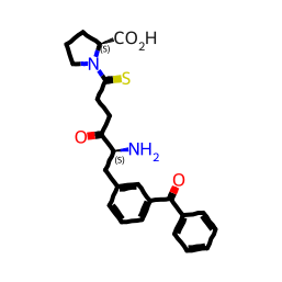 N[C@@H](Cc1cccc(C(=O)c2ccccc2)c1)C(=O)CCC(=S)N1CCC[C@H]1C(=O)O